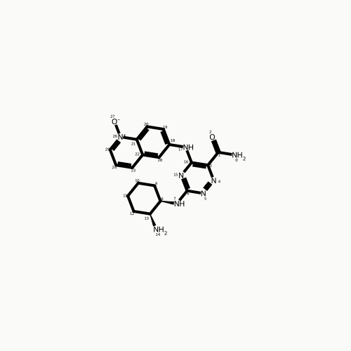 NC(=O)c1nnc(N[C@@H]2CCCC[C@@H]2N)nc1Nc1ccc2c(ccc[n+]2[O-])c1